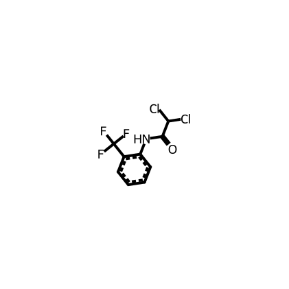 O=C(Nc1ccccc1C(F)(F)F)C(Cl)Cl